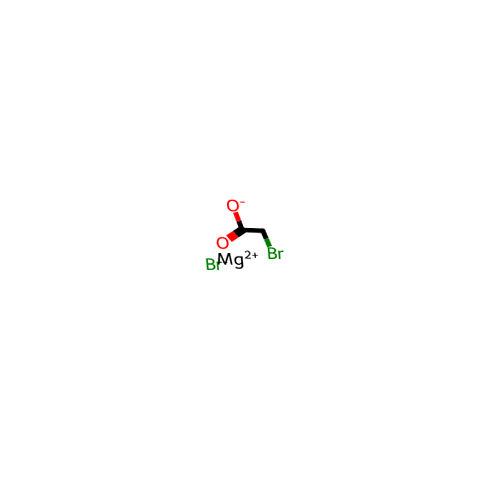 O=C([O-])CBr.[Br-].[Mg+2]